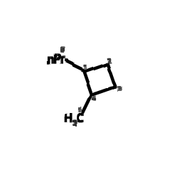 [CH2]CCC1CCC1C